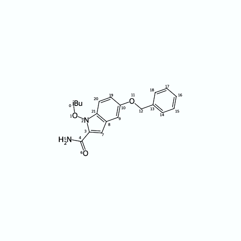 CCC(C)On1c(C(N)=O)cc2cc(OCc3ccccc3)ccc21